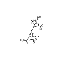 CCCNc1c(NOO)cc(C(N)=O)cc1OCCCOc1cc(C(N)=O)cc([N+](=O)[O-])c1NCCC